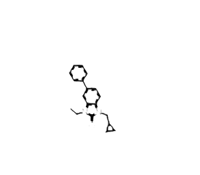 CCn1c(=O)n(CC2CC2)c2ccc(-c3ccccc3)cc21